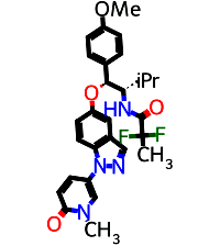 COc1ccc([C@@H](Oc2ccc3c(cnn3-c3ccc(=O)n(C)c3)c2)[C@@H](NC(=O)C(C)(F)F)C(C)C)cc1